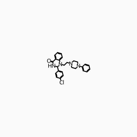 O=C1NC(c2ccc(Cl)cc2)N(CCN2CCN(c3ccccc3)CC2)c2ccccc21